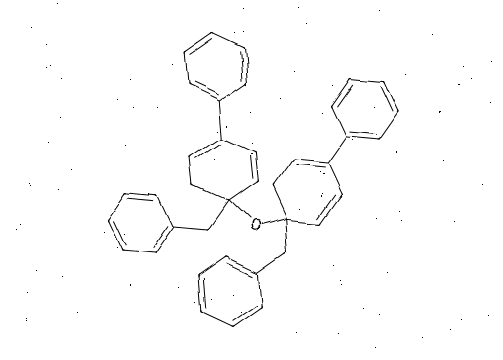 C1=CC(Cc2ccccc2)(OC2(Cc3ccccc3)C=CC(c3ccccc3)=CC2)CC=C1c1ccccc1